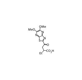 CCC(CC(=O)c1nc2nc(OC)c(OC)nc2s1)C(=O)O